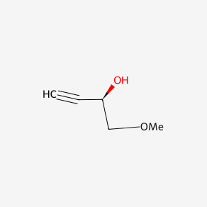 C#C[C@@H](O)COC